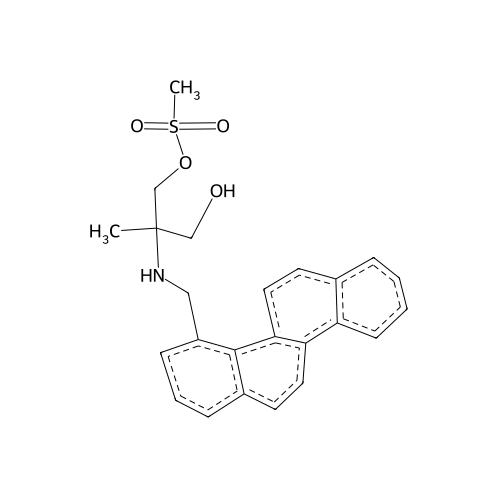 CC(CO)(COS(C)(=O)=O)NCc1cccc2ccc3c4ccccc4ccc3c12